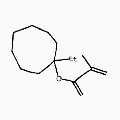 C=C(C)C(=C)OC1(CC)CCCCCCC1